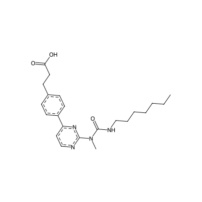 CCCCCCCNC(=O)N(C)c1nccc(-c2ccc(CCC(=O)O)cc2)n1